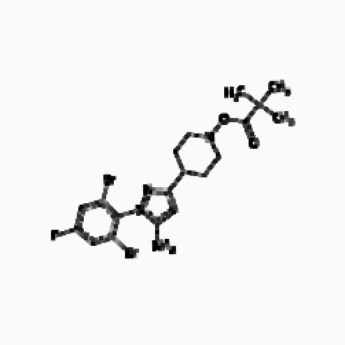 CC(C)(C)C(=O)ON1CCC(c2cc(N)n(-c3c(Br)cc(F)cc3Br)n2)CC1